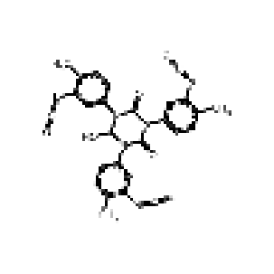 Cc1ccc(N2C(=O)N(c3ccc(C)c(N=C=O)c3)C(O)N(c3ccc(C)c(N=C=O)c3)C2=O)cc1N=C=O